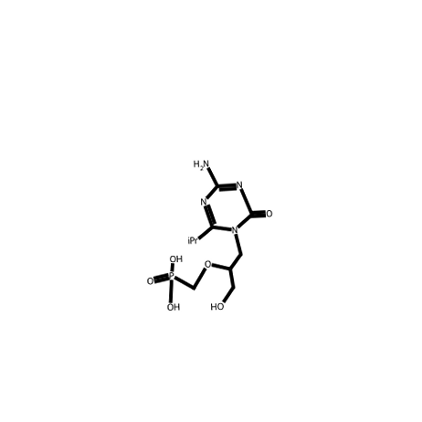 CC(C)c1nc(N)nc(=O)n1CC(CO)OCP(=O)(O)O